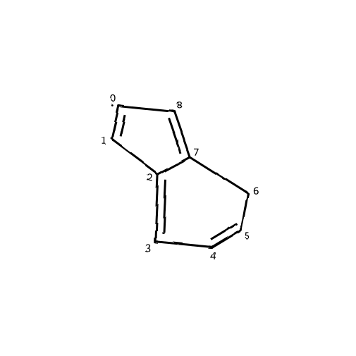 [C]1=CC2=CC=CCC2=C1